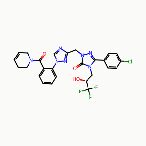 O=C(c1ccccc1-n1cnc(Cn2nc(-c3ccc(Cl)cc3)n(C[C@H](O)C(F)(F)F)c2=O)n1)N1CC=CCC1